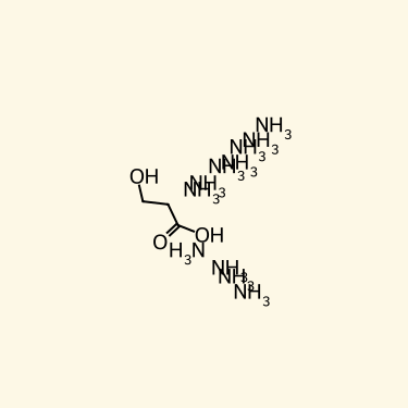 N.N.N.N.N.N.N.N.N.N.N.O=C(O)CCO